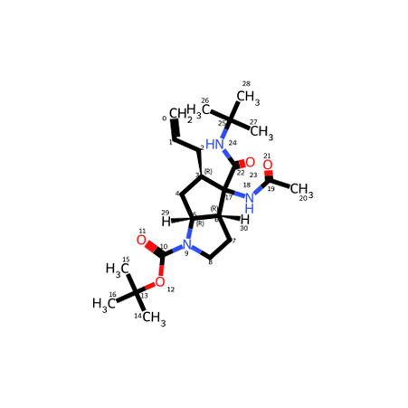 C=CC[C@@H]1C[C@@H]2[C@@H](CCN2C(=O)OC(C)(C)C)C1(NC(C)=O)C(=O)NC(C)(C)C